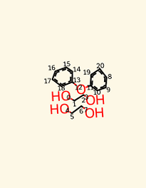 OCCO.OCCO.c1ccc(Oc2ccccc2)cc1